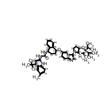 Cc1ccc(N/C(=C\C(=N)C(C)(C)C)NC(=O)N[C@H]2CC[C@@H](Oc3ccc4nnc(N5CC[C@@H](O[Si](C(C)C)(C(C)C)C(C)C)C5)n4c3)c3ccccc32)cc1